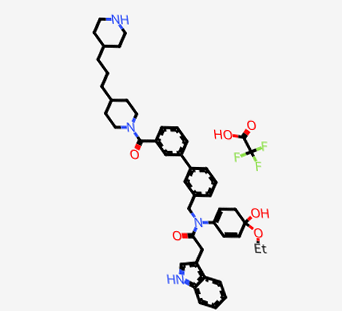 CCOC1(O)C=CC(N(Cc2cccc(-c3cccc(C(=O)N4CCC(CCCC5CCNCC5)CC4)c3)c2)C(=O)Cc2c[nH]c3ccccc23)=CC1.O=C(O)C(F)(F)F